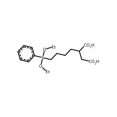 CCO[Si](CCCCC(CC(=O)O)C(=O)O)(OCC)c1ccccc1